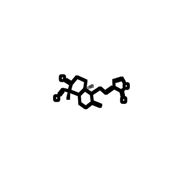 C=C1CCC2[C@@](C)(CCC(=O)[C@@]2(C)C=O)C1C/C=C1\C=COC1=O